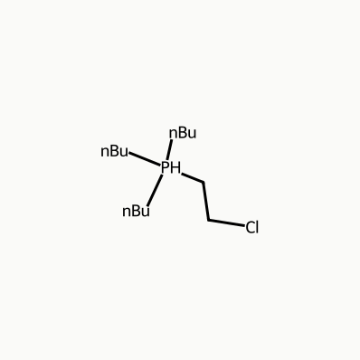 CCCC[PH](CCCl)(CCCC)CCCC